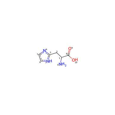 NC(Cc1n[c]c[nH]1)C(=O)O